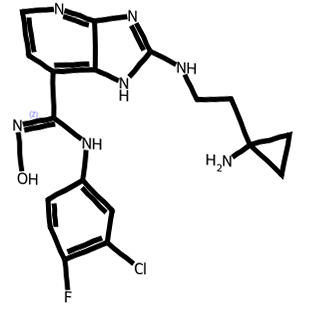 NC1(CCNc2nc3nccc(/C(=N/O)Nc4ccc(F)c(Cl)c4)c3[nH]2)CC1